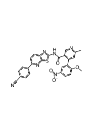 COc1ccc([N+](=O)[O-])cc1-c1cc(C)ncc1C(=O)Nc1nc2ccc(-c3ccc(C#N)cc3)nc2s1